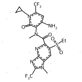 CCS(=O)(=O)c1cc2c(nc1C(=O)N(C)c1c(N)cc(C(F)(F)F)n(C3CC3)c1=O)nc(C(F)(F)F)n2C